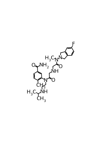 Cc1ccc(C(N)=O)cc1N(CCNC(C)C)C(=O)CNCC(=O)N(C)N1Cc2ccc(F)cc2C1